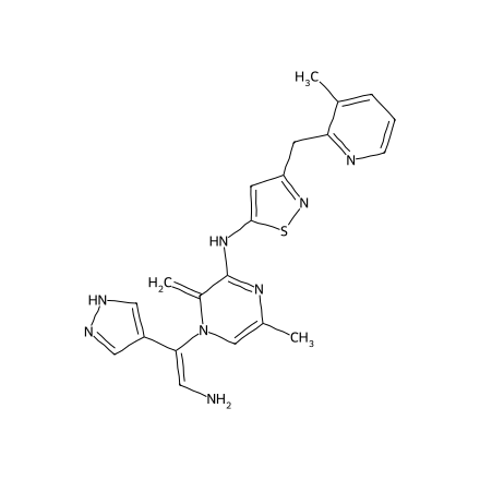 C=C1C(Nc2cc(Cc3ncccc3C)ns2)=NC(C)=CN1/C(=C\N)c1cn[nH]c1